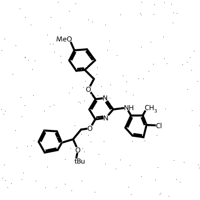 COc1ccc(COc2cc(OCC(OC(C)(C)C)c3ccccc3)nc(Nc3cccc(Cl)c3C)n2)cc1